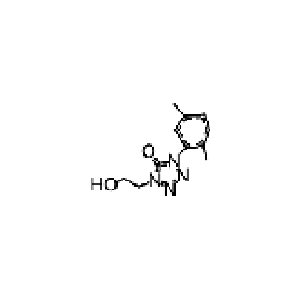 Cc1ccc(C)c(-n2nnn(CCO)c2=O)c1